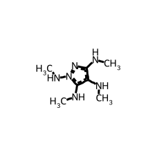 CNc1nn(NC)c(NC)c1NC